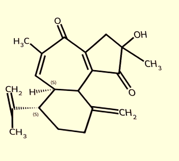 C=C1CC[C@H](C(=C)C)[C@H]2C=C(C)C(=O)C3=C(C(=O)C(C)(O)C3)C12